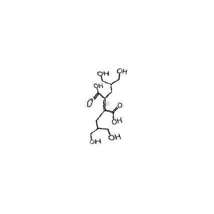 O=C(O)/C(CC(CO)CO)=C(\CC(CO)CO)C(=O)O